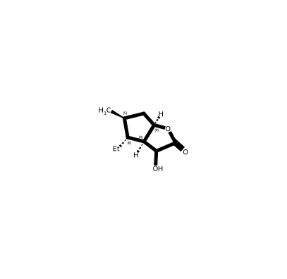 CC[C@H]1[C@@H]2C(O)C(=O)O[C@@H]2C[C@@H]1C